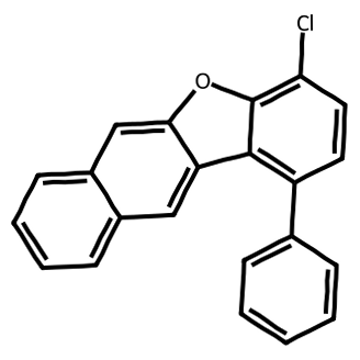 Clc1ccc(-c2ccccc2)c2c1oc1cc3ccccc3cc12